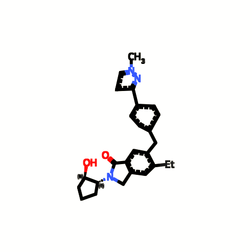 CCc1cc2c(cc1Cc1ccc(-c3ccn(C)n3)cc1)C(=O)N([C@@H]1CCC[C@H]1O)C2